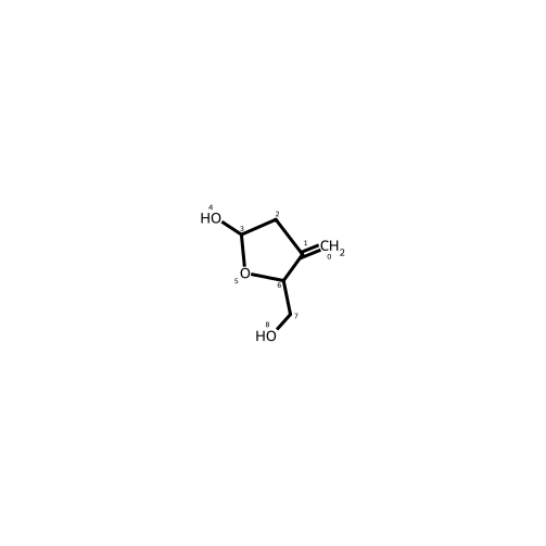 C=C1CC(O)OC1CO